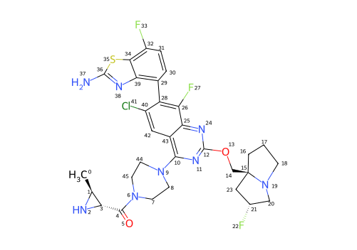 C[C@@H]1N[C@H]1C(=O)N1CCN(c2nc(OC[C@@]34CCCN3C[C@H](F)C4)nc3c(F)c(-c4ccc(F)c5sc(N)nc45)c(Cl)cc23)CC1